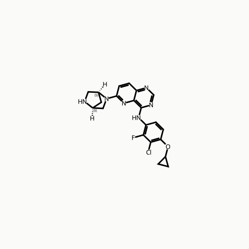 Fc1c(Nc2ncnc3ccc(N4C[C@@H]5C[C@H]4CN5)nc23)ccc(OC2CC2)c1Cl